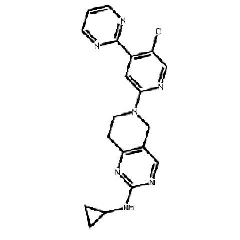 Clc1cnc(N2CCc3nc(NC4CC4)ncc3C2)cc1-c1ncccn1